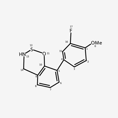 COc1ccc(-c2cccc3c2OSNC3)cc1F